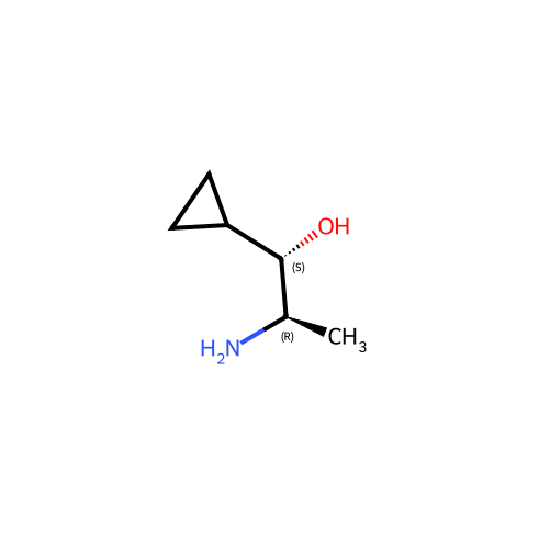 C[C@@H](N)[C@@H](O)C1CC1